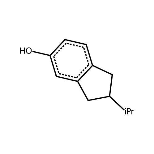 CC(C)C1Cc2ccc(O)cc2C1